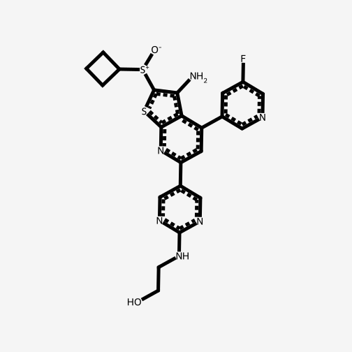 Nc1c([S+]([O-])C2CCC2)sc2nc(-c3cnc(NCCO)nc3)cc(-c3cncc(F)c3)c12